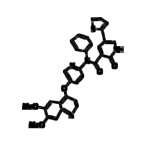 COc1cc2nccc(Oc3ccc(N(C(=O)c4cc(-c5cccs5)c[nH]c4=O)c4ccccc4)nc3)c2cc1OC